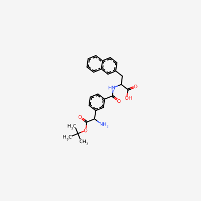 CC(C)(C)OC(=O)C(N)c1cccc(C(=O)NC(Cc2ccc3ccccc3c2)C(=O)O)c1